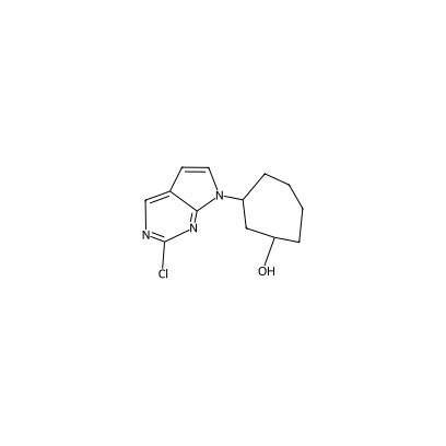 OC1CCCCC(n2ccc3cnc(Cl)nc32)C1